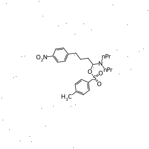 CCCN(CCC)C(CCCc1ccc([N+](=O)[O-])cc1)OS(=O)(=O)c1ccc(C)cc1